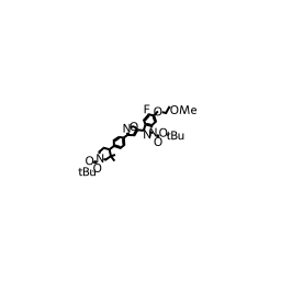 COCCOc1cc2c(cc1F)c(-c1cc(-c3ccc(C4CCN(C(=O)OC(C)(C)C)CC4(C)C)cc3)no1)nn2C(=O)OC(C)(C)C